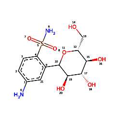 Nc1ccc(S(N)(=O)=O)c(C2O[C@H](CO)[C@@H](O)[C@H](O)[C@H]2O)c1